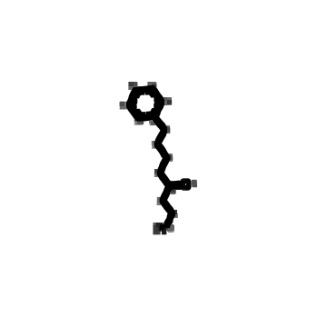 CC(C)CCC(=O)CCCCc1ccccc1